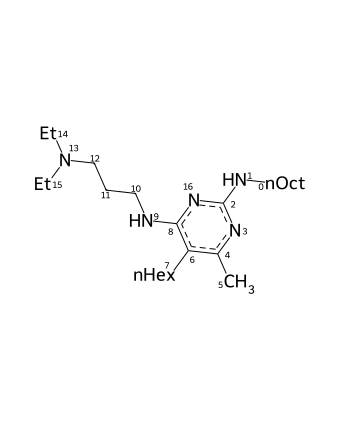 CCCCCCCCNc1nc(C)c(CCCCCC)c(NCCCN(CC)CC)n1